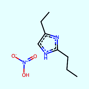 CCCc1nc(CC)c[nH]1.O=[N+]([O-])O